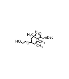 CCCCCCCCCCCC(=O)N1C(C)(C)CC(OCCO)CC1(C)C